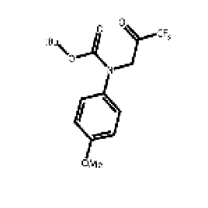 COc1ccc(N(CC(=O)C(F)(F)F)C(=O)OC(C)(C)C)cc1